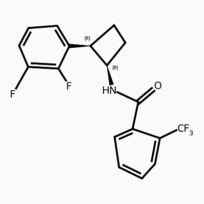 O=C(N[C@@H]1CC[C@@H]1c1cccc(F)c1F)c1ccccc1C(F)(F)F